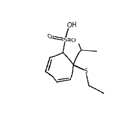 CCSC1(C(C)C)C=CC=CC1S(=O)(=O)O